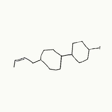 C/C=C\CC1CCC(C2CCC(I)CC2)CC1